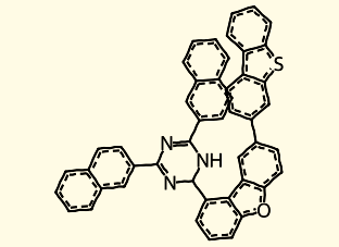 c1ccc2cc(C3=NC(c4cccc5oc6ccc(-c7ccc8c(c7)sc7ccccc78)cc6c45)NC(c4ccc5ccccc5c4)=N3)ccc2c1